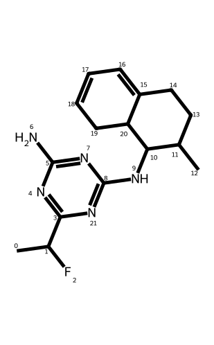 CC(F)c1nc(N)nc(NC2C(C)CCC3=CC=CCC32)n1